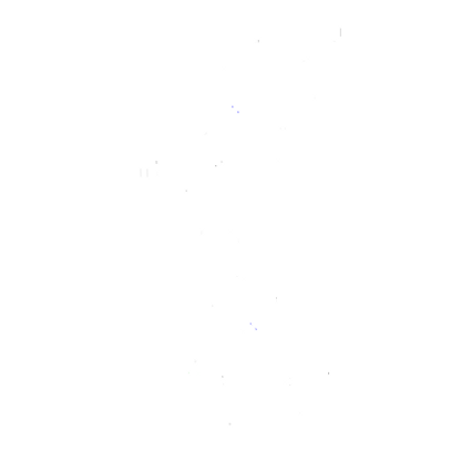 Cc1cc(C2CN(c3c(Cl)cccc3Cl)C2)cc(C)c1CN1CCC(C)CC1